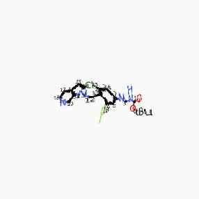 CC(C)(C)OC(=O)NC=Nc1cc(F)c(Cn2ccc3ccncc32)c(Cl)c1